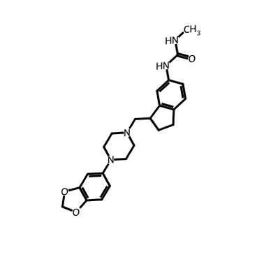 CNC(=O)Nc1ccc2c(c1)C(CN1CCN(c3ccc4c(c3)OCO4)CC1)CC2